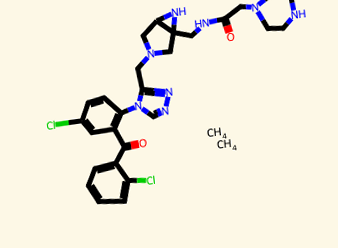 C.C.O=C(CN1CCNCC1)NCC12CN(Cc3nncn3-c3ccc(Cl)cc3C(=O)c3ccccc3Cl)CC1N2